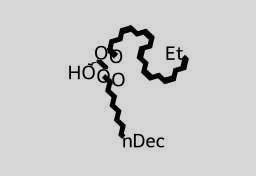 CC/C=C\C/C=C\C/C=C\C/C=C\C/C=C\C/C=C\CCC(=O)O[C@@H](CO)COC(=O)CCCCCCCCCCCCCCCCC